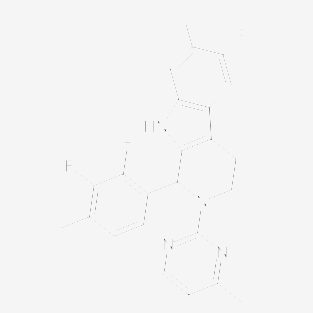 Cc1ccnc(N2CCc3c([nH]c4cc(F)c(Cl)cc34)C2c2ccc(C)c(F)c2F)n1